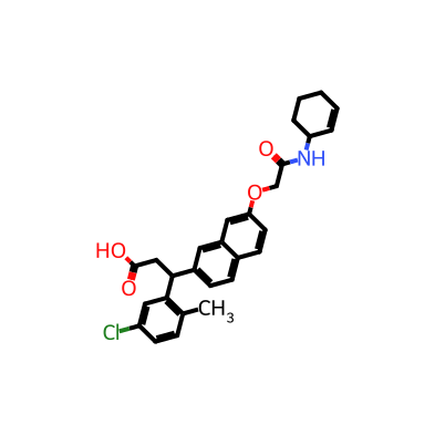 Cc1ccc(Cl)cc1C(CC(=O)O)c1ccc2ccc(OCC(=O)NC3C=CCCC3)cc2c1